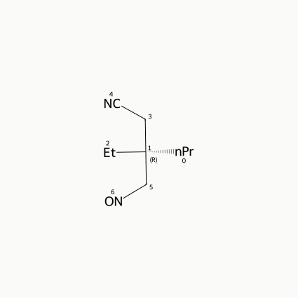 CCC[C@](CC)(CC#N)CN=O